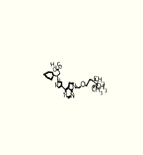 COC(=O)CC(c1ccccc1)n1cc(-c2ncnc3c2ccn3COCC[Si](C)(C)C)cn1